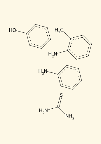 Cc1ccccc1N.NC(N)=S.Nc1ccccc1.Oc1ccccc1